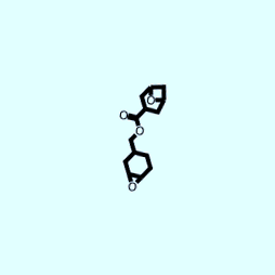 O=C(OCC1CCC2OC2C1)C1CC2CC(C1)O2